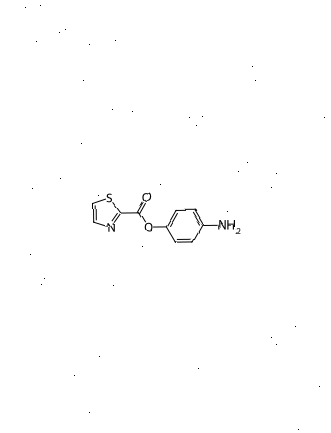 Nc1ccc(OC(=O)c2nccs2)cc1